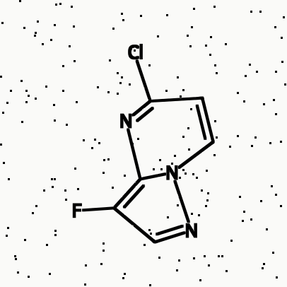 Fc1cnn2ccc(Cl)nc12